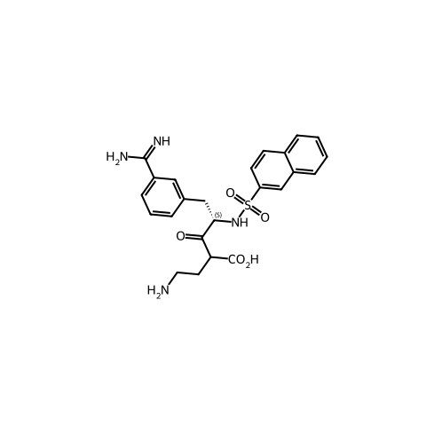 N=C(N)c1cccc(C[C@H](NS(=O)(=O)c2ccc3ccccc3c2)C(=O)C(CCN)C(=O)O)c1